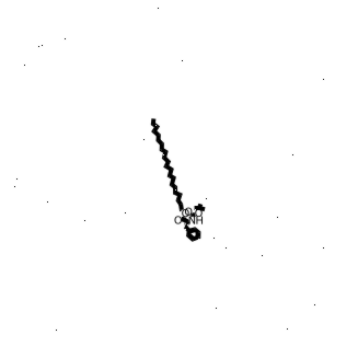 CCCCCCCCCCCCCCCCCCCCCCOC(=O)[C@H](Cc1ccccc1)NC(=O)OC(C)(C)C